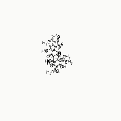 CN1CCOCC1c1cc(O)c2c(c1C(F)(F)F)C[C@H]1C[C@H]3[C@H](N(C)C)C(O)=C(C(N)=O)C(=O)[C@@]3(O)C(O)=C1C2=O